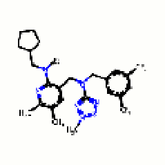 CCN(CC1CCCC1)c1nc(C)c(C)cc1CN(Cc1cc(C(F)(F)F)cc(C(F)(F)F)c1)c1nnn(C)n1